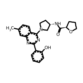 Cc1ccc2c(N3CC[C@H](NC(=O)[C@H]4CCCO4)C3)nc(-c3ccccc3O)nc2c1